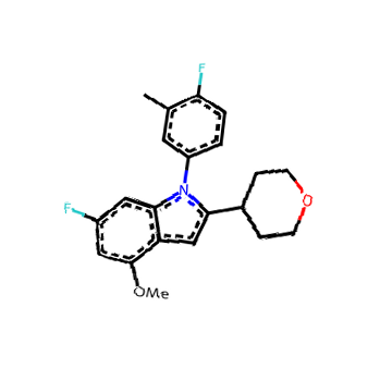 COc1cc(F)cc2c1cc(C1CCOCC1)n2-c1ccc(F)c(C)c1